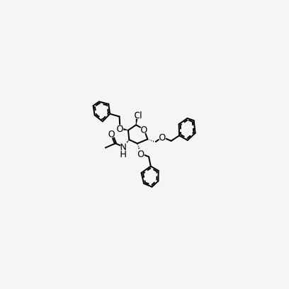 CC(=O)N[C@@H]1[C@@H](OCc2ccccc2)[C@@H](Cl)O[C@H](COCc2ccccc2)[C@@H]1OCc1ccccc1